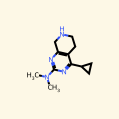 CN(C)c1nc2c(c(C3CC3)n1)CCNC2